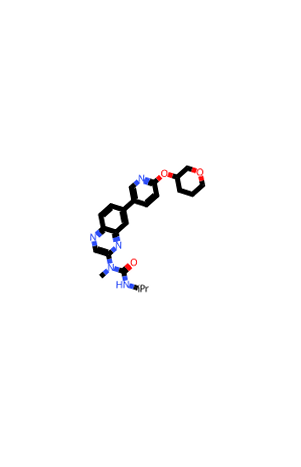 CC(C)NC(=O)N(C)c1cnc2ccc(-c3ccc(OC4CCCOC4)nc3)cc2n1